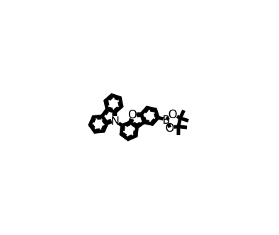 CC1(C)OB(c2ccc3oc4c(-n5c6ccccc6c6ccccc65)cccc4c3c2)OC1(C)C